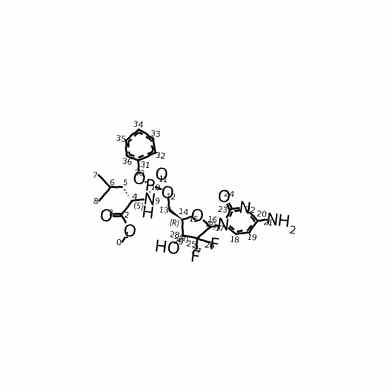 COC(=O)[C@H](CC(C)C)NP(=O)(OC[C@H]1O[C@@H](n2ccc(N)nc2=O)C(F)(F)[C@@H]1O)Oc1ccccc1